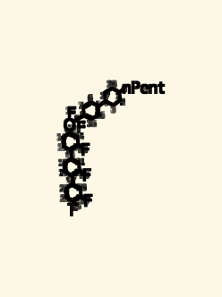 CCCCCC1CCC(c2ccc(C(F)(F)Oc3ccc(-c4ccc(-c5ccc(F)c(F)c5)c(F)c4)c(F)c3)cc2)CC1